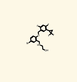 OCCNCc1cc(Br)ccc1OCc1cc(C2CC2(F)F)c(F)cc1F